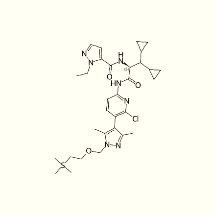 CCn1nccc1C(=O)N[C@H](C(=O)Nc1ccc(-c2c(C)nn(COCCS(C)(C)C)c2C)c(Cl)n1)C(C1CC1)C1CC1